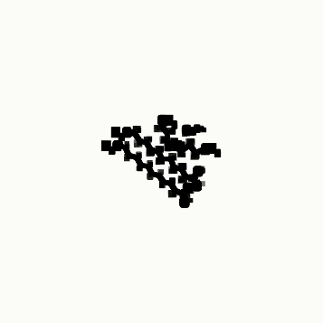 CCCCCCCCCCCC(=O)[O-].CCCCCCCCCCCC(=O)[O-].CCC[CH2][Sn+2][CH2]CCC.[Cu+2]